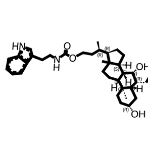 CC[C@H]1[C@@H](O)[C@H]2[C@@H]3CC[C@H]([C@H](C)CCOC(=O)NCCc4c[nH]c5ccccc45)C3(C)CC[C@@H]2[C@]2(C)CC[C@@H](O)C[C@@H]12